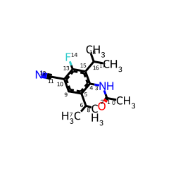 CC(=O)Nc1c(C(C)C)cc(C#N)c(F)c1C(C)C